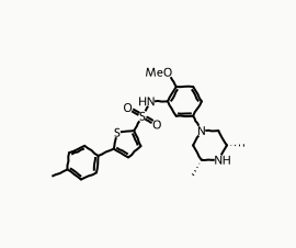 COc1ccc(N2C[C@@H](C)N[C@@H](C)C2)cc1NS(=O)(=O)c1ccc(-c2ccc(C)cc2)s1